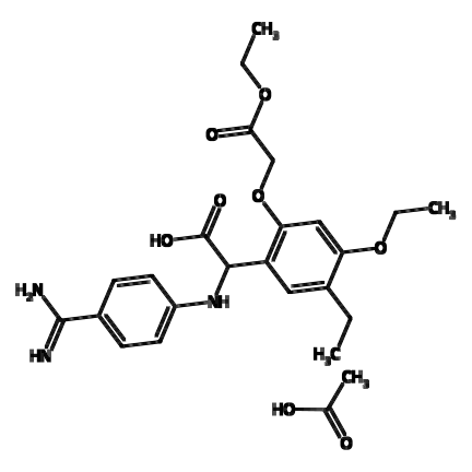 CC(=O)O.CCOC(=O)COc1cc(OCC)c(CC)cc1C(Nc1ccc(C(=N)N)cc1)C(=O)O